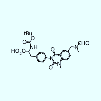 CN(C=O)Cc1ccc2c(c1)c(=O)n(-c1ccc(C[C@H](NC(=O)OC(C)(C)C)C(=O)O)cc1)c(=O)n2C